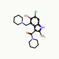 Cc1[nH]c2cc(Br)c(O)c(CN3CCCCC3)c2c1C(=O)N1CCCCC1